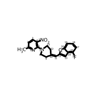 Cc1ccc([N+](=O)[O-])c(N2CCC(=Cc3cc4c(F)cccc4o3)CC2)n1